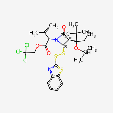 C=C(C)C(C(=O)OCC(Cl)(Cl)Cl)N1C(=O)[C@@H](C(CC)(O[SiH](C)C)C(C)(C)C)[C@H]1SSc1nc2ccccc2s1